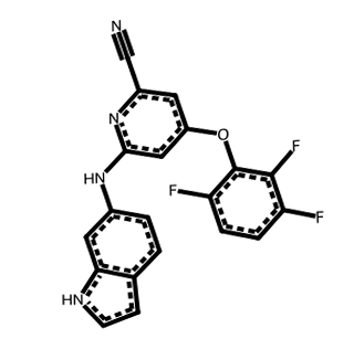 N#Cc1cc(Oc2c(F)ccc(F)c2F)cc(Nc2ccc3cc[nH]c3c2)n1